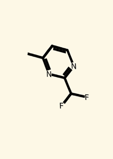 Cc1ccnc(C(F)F)n1